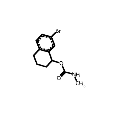 CNC(=O)OC1CCCc2ccc(Br)cc21